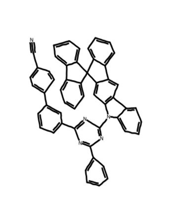 N#Cc1ccc(-c2cccc(-c3nc(-c4ccccc4)nc(-n4c5ccccc5c5cc6c(cc54)C4(c5ccccc5-c5ccccc54)c4ccccc4-6)n3)c2)cc1